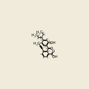 CC#Cc1cccc(C(=O)O)c1C(=O)c1ccc(N(CC)CC)cc1O